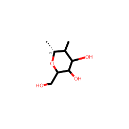 CC1C(O)C(O)C(CO)O[C@@H]1C